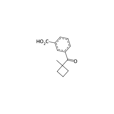 CC1(C(=O)c2cccc(C(=O)O)c2)CCC1